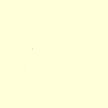 C#C[C@]1(CCCC(C)C)C=C(C)C(=O)C=C1[C@@H](C)CC